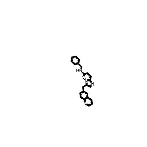 c1ccc(CNc2ccc3ncc(Cc4ccc5ncccc5c4)n3n2)cc1